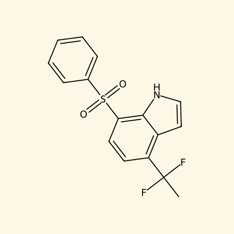 CC(F)(F)c1ccc(S(=O)(=O)c2ccccc2)c2[nH]ccc12